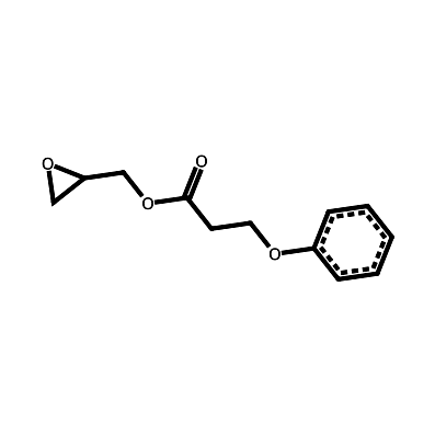 O=C(CCOc1ccccc1)OCC1CO1